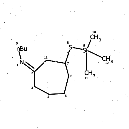 CCCCN=C1CCCCC(S[Si](C)(C)C)C1